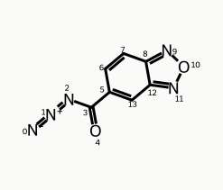 [N-]=[N+]=NC(=O)c1ccc2nonc2c1